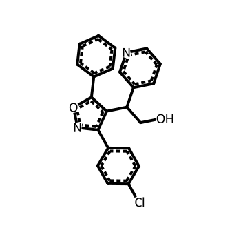 OCC(c1cccnc1)c1c(-c2ccc(Cl)cc2)noc1-c1ccccc1